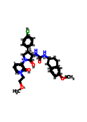 COCCn1cccc(N2C[C@@H](c3ccc(Cl)cc3)[C@H](NC(=O)NC3CCc4cc(OC)ccc4C3)C2=O)c1=O